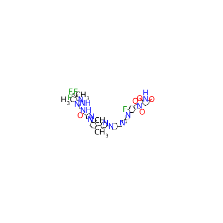 Cc1ccc(-n2cc(C(=O)NCc3nc(C(C)(C)C(F)(F)F)n[nH]3)cn2)c(C)c1-c1ccc(N2CCC(CN3CC4(C3)CN(c3cc5c(cc3F)C(=O)N(C3CCC(=O)NC3=O)C5=O)C4)CC2)nc1